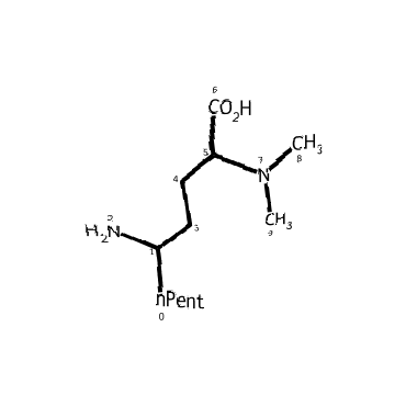 CCCCCC(N)CCC(C(=O)O)N(C)C